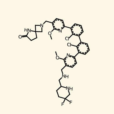 COc1nc(-c2cccc(-c3cccc(-c4ccc(CN5CC6(CCC(=O)N6)C5)c(OC)n4)c3Cl)c2Cl)ccc1CNCC1CCC(F)(F)CN1